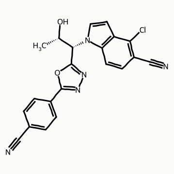 C[C@H](O)[C@@H](c1nnc(-c2ccc(C#N)cc2)o1)n1ccc2c(Cl)c(C#N)ccc21